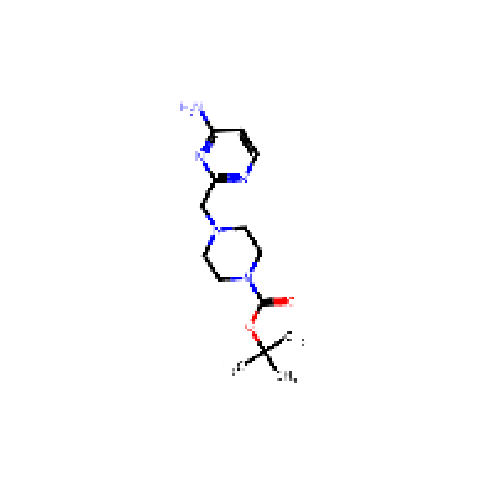 CC(C)(C)OC(=O)N1CCN(Cc2nccc(N)n2)CC1